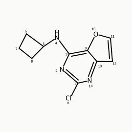 Clc1nc(NC2CCC2)c2occc2n1